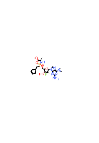 COC(=O)[C@@H](C)NP(=S)(CCc1ccccc1)OC[C@H]1O[C@@H](n2cnc3c(N(C)C)nc(N)nc32)[C@](C)(F)[C@@H]1O